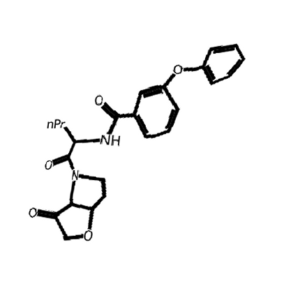 CCCC(NC(=O)c1cccc(Oc2ccccc2)c1)C(=O)N1CCC2OCC(=O)C21